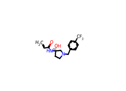 C=CC(=O)N[C@]1(O)CCN(Cc2ccc(C(F)(F)F)cc2)C1